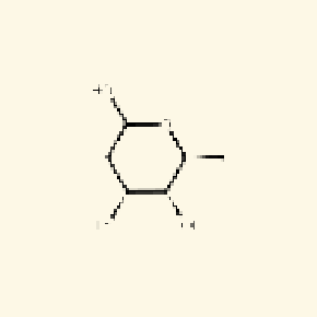 CC[C@H]1CC(O)O[C@@H](C)[C@H]1O